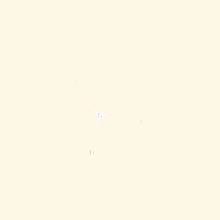 C1CC1.CCON(OCC)OCC